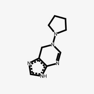 C1=Nc2[nH]cnc2CN1N1CCCC1